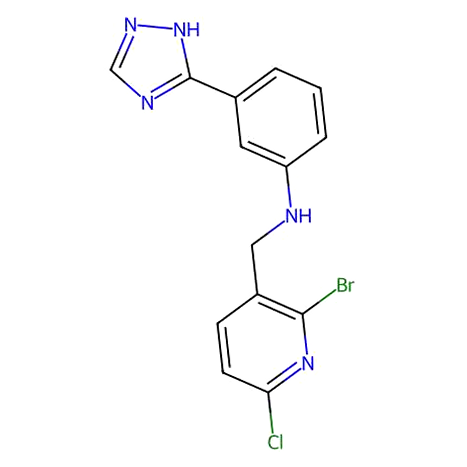 Clc1ccc(CNc2cccc(-c3ncn[nH]3)c2)c(Br)n1